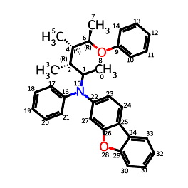 CC([C@H](C)[C@H](C)[C@@H](C)Oc1ccccc1)N(c1ccccc1)c1ccc2c(c1)oc1ccccc12